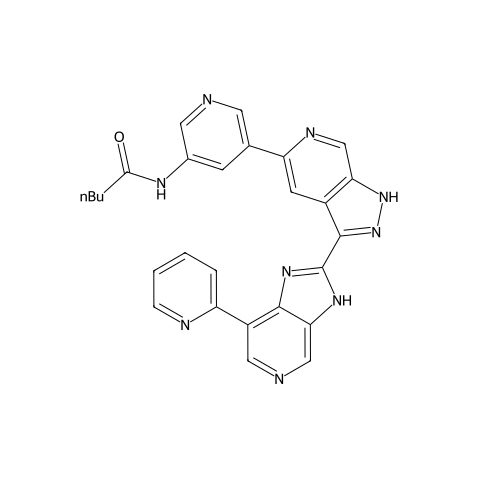 CCCCC(=O)Nc1cncc(-c2cc3c(-c4nc5c(-c6ccccn6)cncc5[nH]4)n[nH]c3cn2)c1